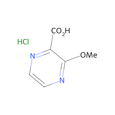 COc1nccnc1C(=O)O.Cl